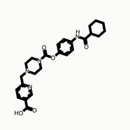 O=C(O)c1ccc(CN2CCN(C(=O)Oc3ccc(NC(=O)C4CCCCC4)cc3)CC2)nc1